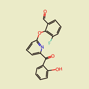 O=Cc1cccc(F)c1Oc1cccc(C(=O)c2ccccc2O)n1